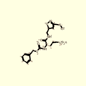 CCSC1=NOC(CNC(=O)[C@H](CCC(=O)O)NC(=O)OCc2ccccc2)C1